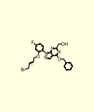 OCc1nc(OCc2ccccc2)c2cnn(-c3ccc(F)cc3OC/C=C/CBr)c2n1